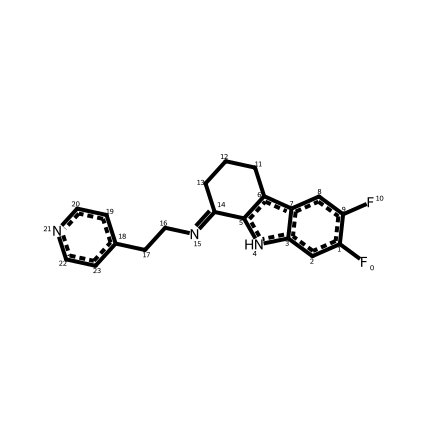 Fc1cc2[nH]c3c(c2cc1F)CCC/C3=N\CCc1ccncc1